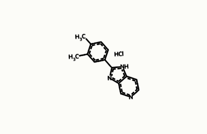 Cc1ccc(-c2nc3cnccc3[nH]2)cc1C.Cl